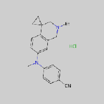 CCN1Cc2cc(N(C)c3ccc(C#N)cc3)ccc2C2(CC2)C1.Cl